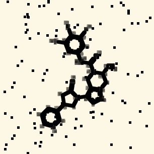 C[C@H]1Cn2ncc(N3CC(c4cccnc4)CC3=O)c2CN1C(=O)Nc1cc(F)c(F)c(F)c1